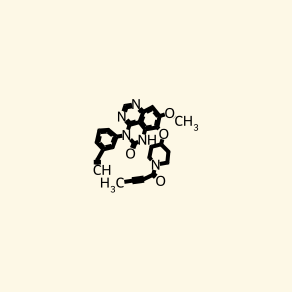 C#Cc1cccc(N2C(=O)Nc3c(OC4CCN(C(=O)C#CC)CC4)c(OC)cc4ncnc2c34)c1